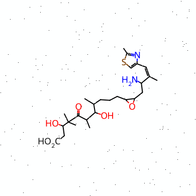 CC(=Cc1csc(C)n1)C(N)CC1OC1CCCC(C)C(O)C(C)C(=O)C(C)(C)C(O)CC(=O)O